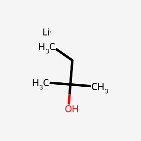 CCC(C)(C)O.[Li]